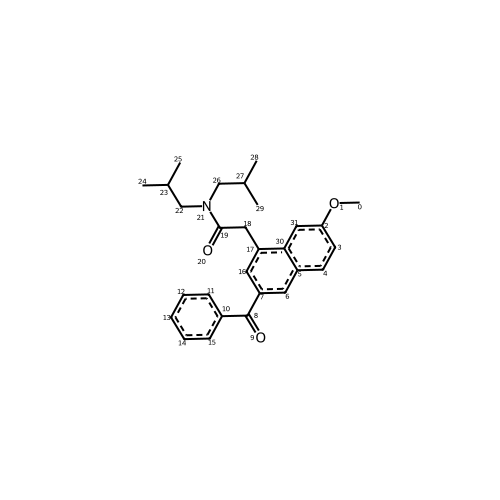 COc1ccc2cc(C(=O)c3ccccc3)cc(CC(=O)N(CC(C)C)CC(C)C)c2c1